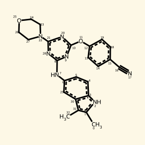 Cc1[nH]c2ccc(Nc3nc(Oc4ccc(C#N)cc4)nc(N4CCOCC4)n3)cc2c1C